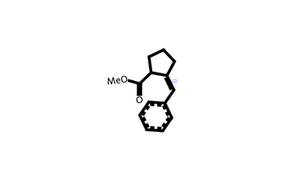 COC(=O)C1CCC/C1=C/c1ccccc1